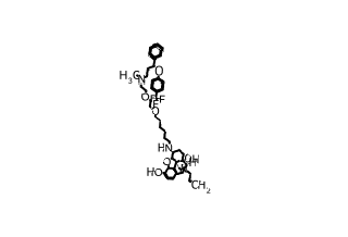 C=CCN1CC[C@]23c4c5ccc(O)c4OC2[C@H](NCCCCCCOCCOCCN(C)CCC(Oc2ccc(C(F)(F)F)cc2)c2ccccc2)CC[C@@]3(O)[C@H]1C5